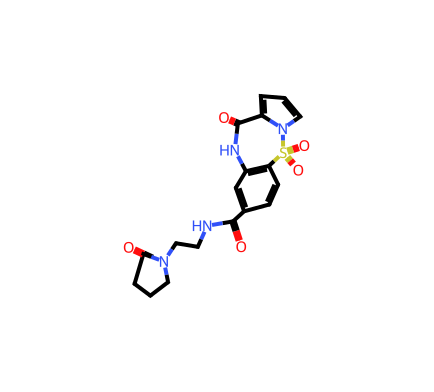 O=C(NCCN1CCCC1=O)c1ccc2c(c1)NC(=O)c1cccn1S2(=O)=O